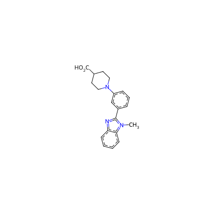 Cn1c(-c2cccc(N3CCC(C(=O)O)CC3)c2)nc2ccccc21